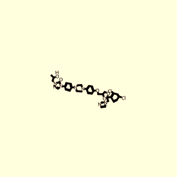 CC(O)Cn1ncn(-c2ccc(N3CCN(c4ccc(OCC5COC(Cn6ccnc6)(c6ccc(Cl)cc6Cl)O5)cc4)CC3)cc2)c1=O